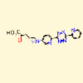 O=C(O)C(=O)CCCNc1ccc(-c2nnc(-c3ccccn3)nn2)nc1